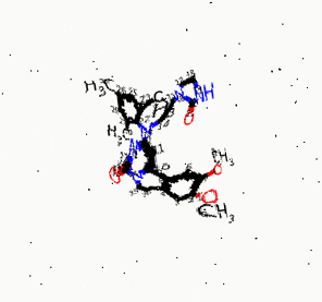 COc1cc2c(cc1OC)-c1cc(N(CCN3CCNC3=O)c3c(C)cc(C)cc3C)nc(=O)n1CC2